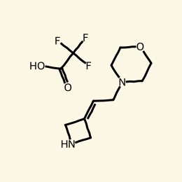 C(CN1CCOCC1)=C1CNC1.O=C(O)C(F)(F)F